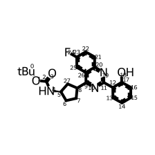 CC(C)(C)OC(=O)N[C@@H]1CCC(c2nc(-c3ccccc3O)nc3ccc(F)cc23)C1